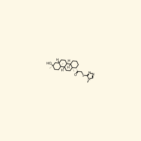 Cn1cnnc1SCC(=O)[C@H]1CCC[C@H]2[C@@H]3CC[C@H]4C[C@](C)(O)CC[C@]4(C)[C@H]3CC[C@]12C